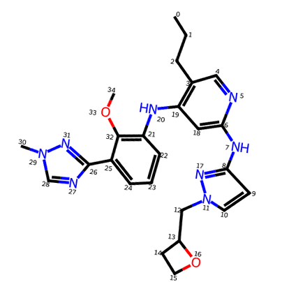 CCCc1cnc(Nc2ccn(CC3CCO3)n2)cc1Nc1cccc(-c2ncn(C)n2)c1OC